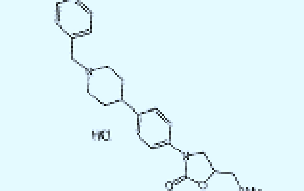 COCC1CN(c2ccc(C3CCN(Cc4ccccc4)CC3)cc2)C(=O)O1.Cl